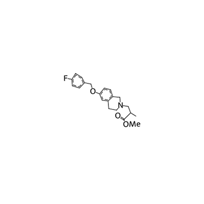 COC(=O)C(C)CN1CCc2cc(OCc3ccc(F)cc3)ccc2C1